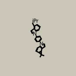 CC(C)Cc1cccc2c1ccn2-c1ccc(-n2ccc3c4c(ccc32)C4(C)C)cc1